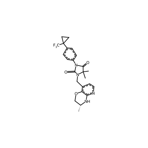 C[C@@H]1COc2c(CN3C(=O)N(c4ccc(C5(C(F)(F)F)CC5)cc4)C(=O)C3(C)C)ccnc2N1